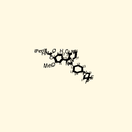 CCC[C@H](C)NC(=O)Oc1ccc(-c2nc([C@H]3CC[C@H](N4CC(F)(F)C4)CC3)n3ccnc(C)c23)cc1OC